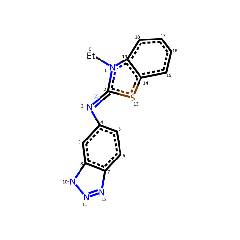 CCn1/c(=N/c2ccc3c(c2)[N]N=N3)sc2ccccc21